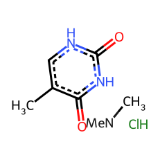 CNC.Cc1c[nH]c(=O)[nH]c1=O.Cl